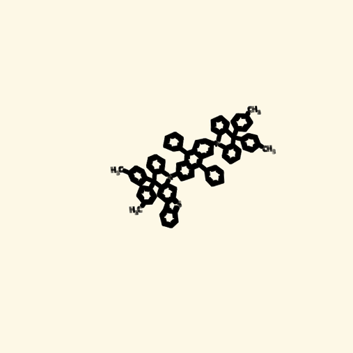 Cc1ccc(C2(c3ccc(C)cc3)c3ccccc3N(c3ccc4c(-c5ccccc5)c5cc(N6c7ccccc7C(c7ccc(C)cc7)(c7ccc(C)cc7)c7cc8c(cc76)sc6ccccc68)ccc5c(-c5ccccc5)c4c3)c3ccccc32)cc1